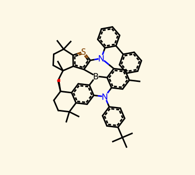 Cc1cc2c3c(c1)N(c1ccccc1-c1ccccc1)c1sc4c5c1B3c1cc3c(cc1N2c1ccc(C(C)(C)C)cc1)C(C)(C)CCC3(C)CC5(C)CCC4(C)C